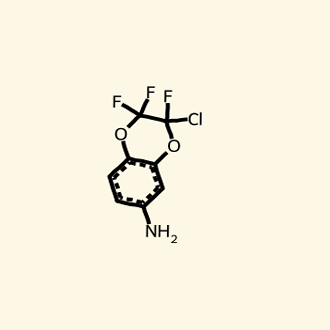 Nc1ccc2c(c1)OC(F)(Cl)C(F)(F)O2